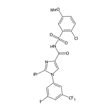 COc1ccc(Cl)c(S(=O)(=O)NC(=O)c2cn(-c3cc(F)cc(C(F)(F)F)c3)c(C(C)C)n2)c1